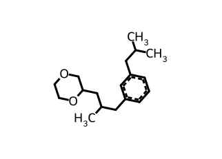 CC(C)Cc1cccc(CC(C)CC2COCCO2)c1